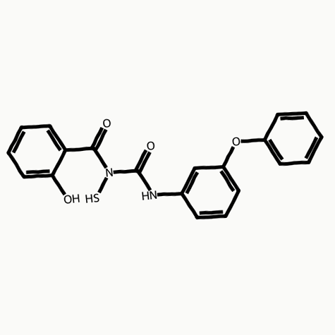 O=C(Nc1cccc(Oc2ccccc2)c1)N(S)C(=O)c1ccccc1O